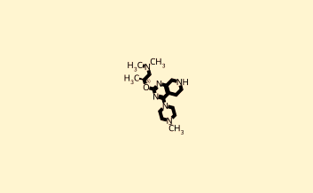 C[C@@H](CN(C)C)Oc1nc2c(c(N3CCN(C)CC3)n1)CCNC2